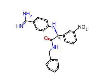 N=C(N)c1ccc(N[C@H](C(=O)NCc2ccccc2)c2cccc([N+](=O)[O-])c2)cc1